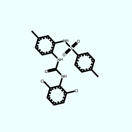 Cc1ccc(S(=O)(=O)Nc2cc(C)ccc2NC(=O)Nc2c(Cl)cccc2Cl)cc1